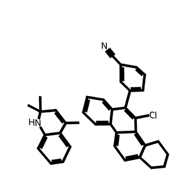 CC1=CC(C)(C)Nc2ccccc21.N#Cc1cccc(-c2c(Cl)c3c4c(ccc3c3ccccc23)CCCC4)c1